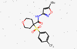 CC(C)(C)c1cc(NC(=O)C2(S(=O)(=O)c3ccc(C(F)(F)F)cc3)CCOCC2)no1